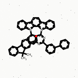 CC1(C)c2ccccc2-c2ccc(-c3nc(-c4cccc(-c5ccccc5)c4)nc(-n4c5ccccc5c5ccc6c7ccccc7n(-c7ccccc7)c6c54)n3)cc21